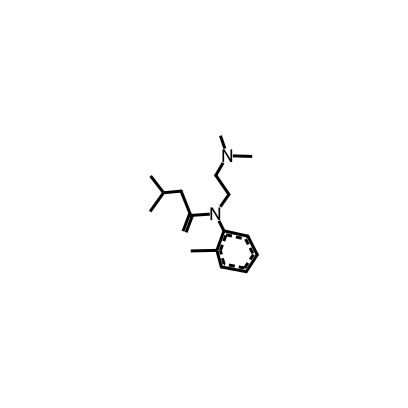 C=C(CC(C)C)N(CCN(C)C)c1ccccc1C